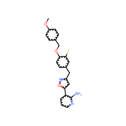 COc1ccc(COc2ccc(Cc3cc(-c4cccnc4N)on3)cc2F)cc1